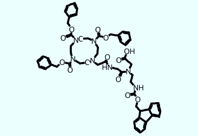 O=C(O)CN(CCNC(=O)OCC1c2ccccc2-c2ccccc21)C(=O)CNC(=O)CN1CCN(C(=O)OCc2ccccc2)CCN(C(=O)OCc2ccccc2)CCN(C(=O)OCc2ccccc2)CC1